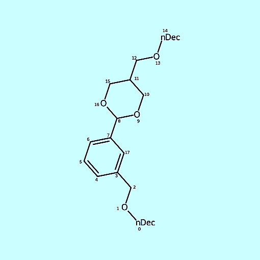 CCCCCCCCCCOCc1cccc(C2OCC(COCCCCCCCCCC)CO2)c1